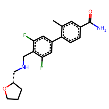 Cc1cc(C(N)=O)ccc1-c1cc(F)c(CNC[C@@H]2CCCO2)c(F)c1